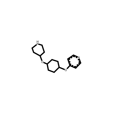 c1cc(OC2CCC(OC3CCNCC3)CC2)ccn1